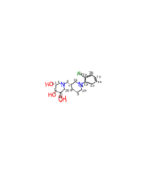 O[C@H]1[C@H](O)CN(C[C@H]2CCCN(c3ccccc3F)C2)C[C@@H]1O